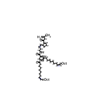 CCCCCCCC/C=C\CCCCCCCC(=O)NCC(NC(=O)CCCCCCC/C=C\CCCCCCCC)C(=O)NCC/N=C\C1CCCN1C(=O)CC(C)N